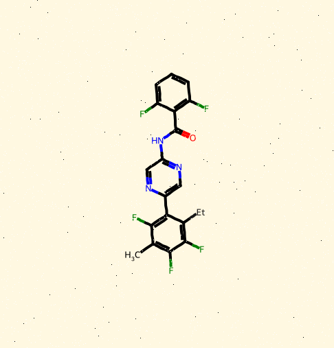 CCc1c(F)c(F)c(C)c(F)c1-c1cnc(NC(=O)c2c(F)cccc2F)cn1